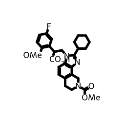 COC(=O)N1CCc2ccc3c(nc(C4CCCCC4)n3CC(C(=O)O)c3cc(F)ccc3OC)c2C1